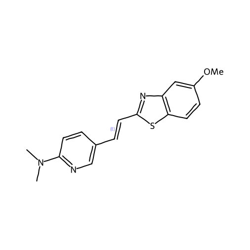 COc1ccc2sc(/C=C/c3ccc(N(C)C)nc3)nc2c1